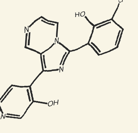 Oc1cnccc1-c1nc(-c2cccc(Cl)c2O)n2ccncc12